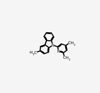 Cc1cc(C)nc(-n2c3ccccc3c3cc(C)ccc32)c1